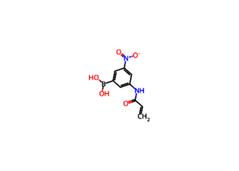 C=CC(=O)Nc1cc(B(O)O)cc([N+](=O)[O-])c1